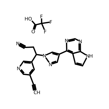 C#Cc1cncc(C(CC#N)n2cc(-c3ncnc4[nH]ccc34)cn2)c1.O=C(O)C(F)(F)F